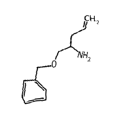 C=CCC(N)COCc1ccccc1